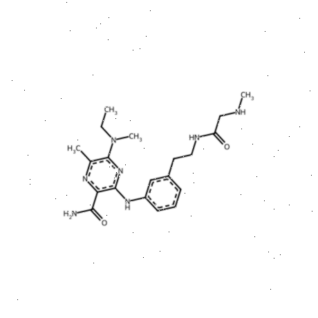 CCN(C)c1nc(Nc2cccc(CCNC(=O)CNC)c2)c(C(N)=O)nc1C